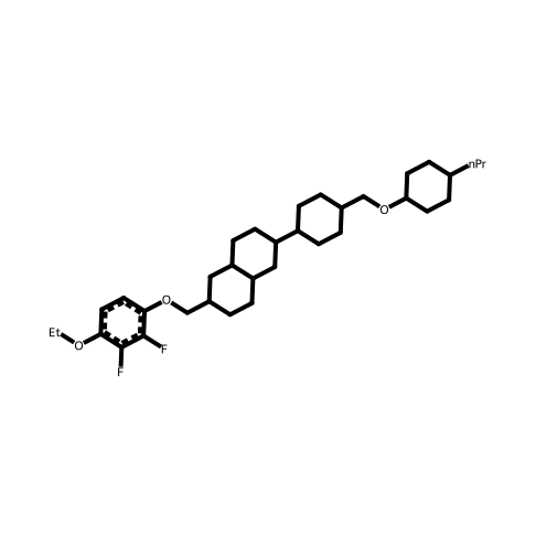 CCCC1CCC(OCC2CCC(C3CCC4CC(COc5ccc(OCC)c(F)c5F)CCC4C3)CC2)CC1